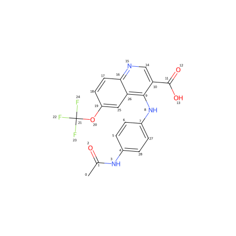 CC(=O)Nc1ccc(Nc2c(C(=O)O)cnc3ccc(OC(F)(F)F)cc23)cc1